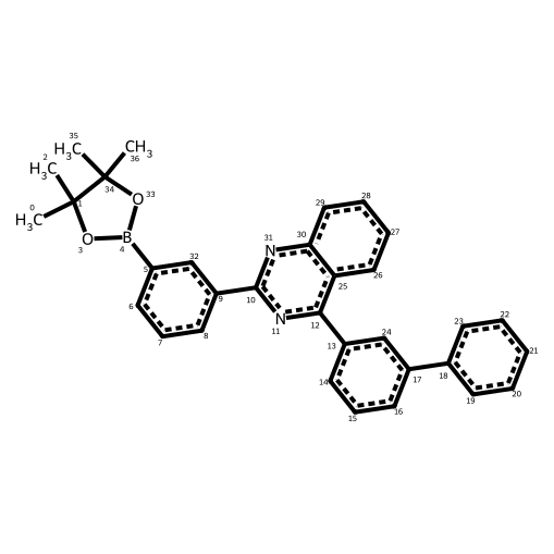 CC1(C)OB(c2cccc(-c3nc(-c4cccc(-c5ccccc5)c4)c4ccccc4n3)c2)OC1(C)C